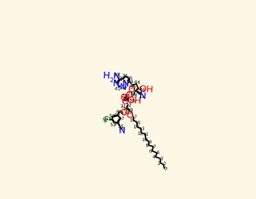 CCCCCCCCCCCCCCCCCCOC[C@](C)(COP(=O)(O)OC[C@@]1(C#N)O[C@@H](c2ccc3c(N)ncnn23)C[C@@H]1O)OCc1cc(F)cc(C#N)c1